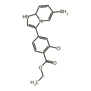 BC1=CN2C(c3ccc(C(=O)OCC)c(Cl)c3)=CNC2C=C1